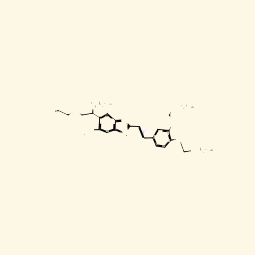 CNC(COCCO)c1cc2sc(/C=C/c3ccc(OCOC)c(OCOC)c3)nc2cc1C